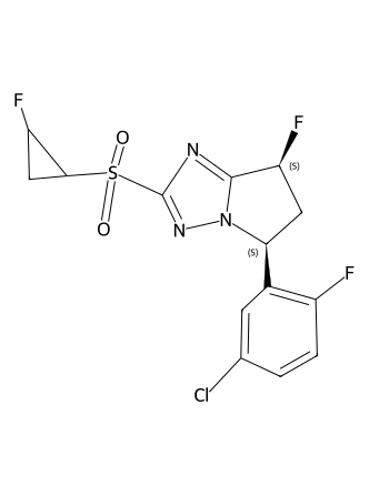 O=S(=O)(c1nc2n(n1)[C@H](c1cc(Cl)ccc1F)C[C@@H]2F)C1CC1F